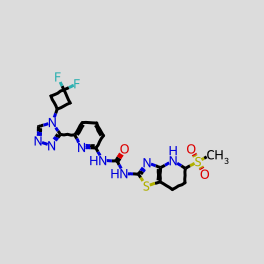 CS(=O)(=O)C1CCc2sc(NC(=O)Nc3cccc(-c4nncn4C4CC(F)(F)C4)n3)nc2N1